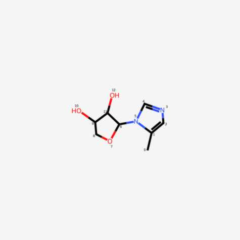 Cc1cncn1C1OCC(O)C1O